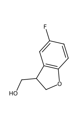 OCC1COc2ccc(F)cc21